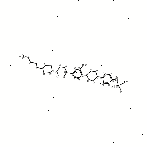 CCCCCC1CCC([C@H]2CC[C@H](c3ccc(C4CCC(c5ccc(OC(F)(F)F)cc5)CC4)c(F)c3)CC2)CC1